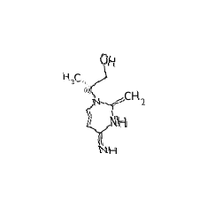 C=C1NC(=N)C=CN1[C@H](C)CO